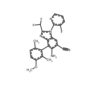 COc1ccc(C)c(-c2c(N)c(C#N)cc3c2nc(C(F)F)n3-c2ncccc2F)c1C